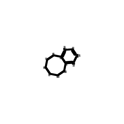 c1nnc2c(n1)CCCCCC2